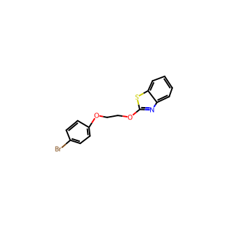 Brc1ccc(OCCOc2nc3ccccc3s2)cc1